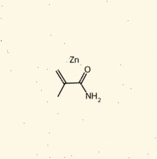 C=C(C)C(N)=O.[Zn]